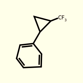 FC(F)(F)C1CC1c1ccccc1